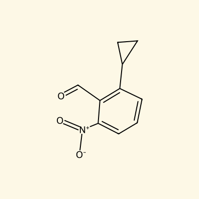 O=Cc1c(C2CC2)cccc1[N+](=O)[O-]